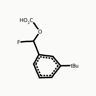 CC(C)(C)c1cccc(C(F)OC(=O)O)c1